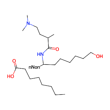 CCCCCCCC(=O)O.CCCCCCCCCC(CCCCCCO)NC(=O)C(C)CCN(C)C